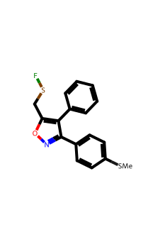 CSc1ccc(-c2noc(CSF)c2-c2ccccc2)cc1